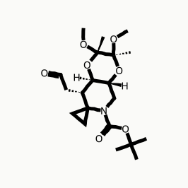 CO[C@@]1(C)O[C@@H]2[C@@H](CC=O)C3(CC3)N(C(=O)OC(C)(C)C)C[C@H]2O[C@]1(C)OC